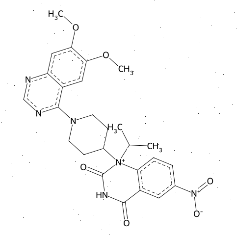 COc1cc2ncnc(N3CCC([N+]4(C(C)C)C(=O)NC(=O)c5cc([N+](=O)[O-])ccc54)CC3)c2cc1OC